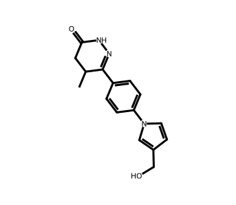 CC1CC(=O)NN=C1c1ccc(-n2ccc(CO)c2)cc1